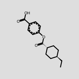 CC[C@H]1CC[C@H](C(=O)Oc2ccc(C(=O)O)cc2)CC1